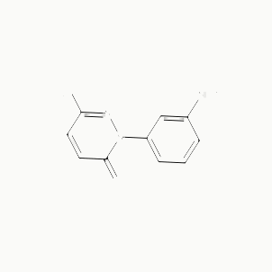 CC(=O)Nc1cccc(-n2nc(C(=O)O)ccc2=O)c1